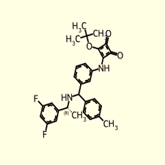 Cc1ccc(C(N[C@H](C)c2cc(F)cc(F)c2)c2cccc(Nc3c(OC(C)(C)C)c(=O)c3=O)c2)cc1